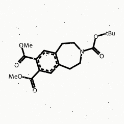 COC(=O)c1cc2c(cc1C(=O)OC)CCN(C(=O)OC(C)(C)C)CC2